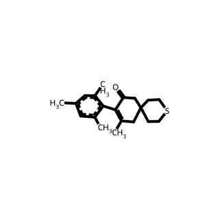 CC1=C(c2c(C)cc(C)cc2C)C(=O)CC2(CCSCC2)C1